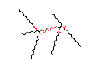 CCCCCCCCCCOC(CCCCCC)=C(COCOCOCC(OCCCCCCCCCC)=C(CCCCCC)OCCCCCCCCCC)OCCCCCCCCCC